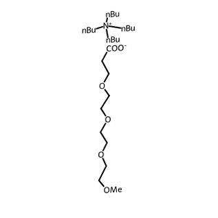 CCCC[N+](CCCC)(CCCC)CCCC.COCCOCCOCCOCCC(=O)[O-]